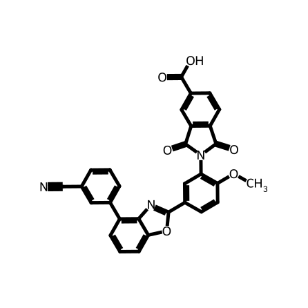 COc1ccc(-c2nc3c(-c4cccc(C#N)c4)cccc3o2)cc1N1C(=O)c2ccc(C(=O)O)cc2C1=O